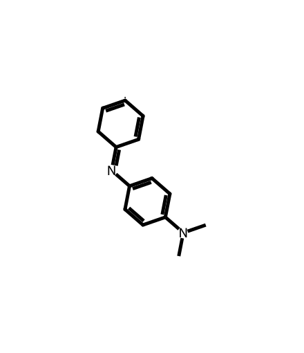 CN(C)c1ccc(N=C2C=C[C]=CC2)cc1